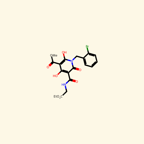 CCOC(=O)CNC(=O)c1c(O)c(C(=O)OC)c(O)n(Cc2ccccc2Br)c1=O